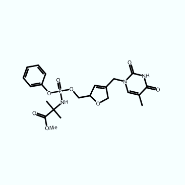 COC(=O)C(C)(C)NP(=O)(OCC1C=C(Cn2cc(C)c(=O)[nH]c2=O)CO1)Oc1ccccc1